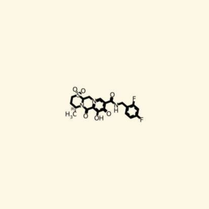 C[C@@H]1CCS(=O)(=O)C2Cn3cc(C(=O)NCc4ccc(F)cc4F)c(=O)c(O)c3C(=O)N21